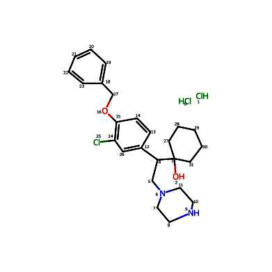 Cl.Cl.OC1(C(CN2CCNCC2)c2ccc(OCc3ccccc3)c(Cl)c2)CCCCC1